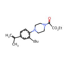 C=C(C)c1ccc(N2CCN(C(=O)C(=O)OCC)CC2)c(C(C)(C)C)c1